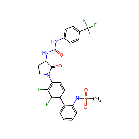 CS(=O)(=O)Nc1ccccc1-c1ccc(N2CC[C@@H](NC(=O)Nc3ccc(C(F)(F)F)cc3)C2=O)c(F)c1F